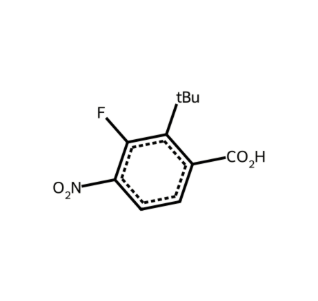 CC(C)(C)c1c(C(=O)O)ccc([N+](=O)[O-])c1F